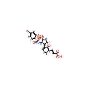 O=C(O)C=Cc1cccc2c1OC1CC(O)C(NS(=O)(=O)c3ccc(I)cc3)C21